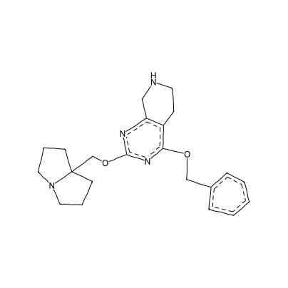 c1ccc(COc2nc(OCC34CCCN3CCC4)nc3c2CCNC3)cc1